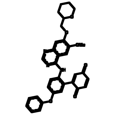 COc1cc2c(Nc3ccc(Oc4ccccc4)cc3C3=CC(=O)C=CC3=O)ncnc2cc1OCC1CCCCO1